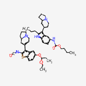 CCCCOC(=O)Nc1ccc2[nH]c(CCC)c(C3CCN4CCCC4C3)c2c1.CCOC(CC)Oc1ccc2sc(N=C=O)c(C3=CCN4CCCC4C3)c2c1